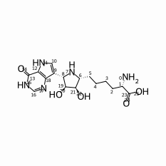 N[C@@H](CCCC[C@H]1N[C@@H](c2c[nH]c3c(=O)[nH]cnc23)[C@H](O)[C@@H]1O)C(=O)O